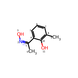 C/C(=N/O)c1cccc(C)c1O